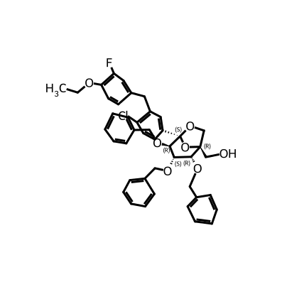 CCOc1ccc(Cc2cc([C@]34OC[C@@](CO)(O3)[C@H](OCc3ccccc3)[C@H](OCc3ccccc3)[C@H]4OCc3ccccc3)ccc2Cl)cc1F